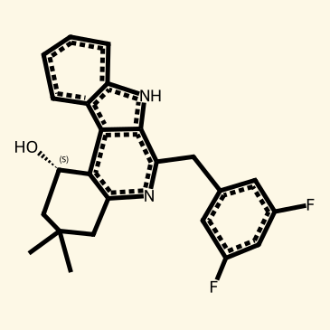 CC1(C)Cc2nc(Cc3cc(F)cc(F)c3)c3[nH]c4ccccc4c3c2[C@@H](O)C1